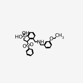 CCOc1cccc(CNCc2cccc3c2C(S(=O)(=O)c2ccccc2)CS3(O)O)c1